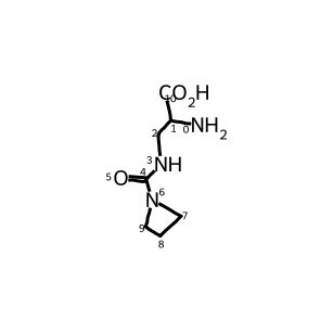 NC(CNC(=O)N1CCC1)C(=O)O